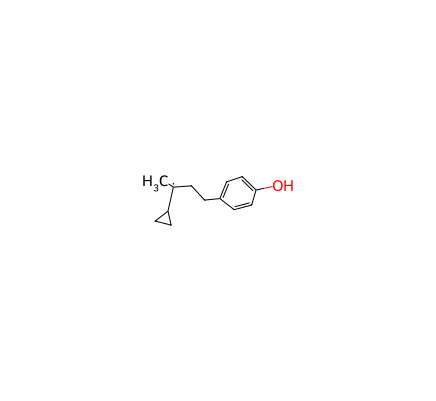 C[C](CCc1ccc(O)cc1)C1CC1